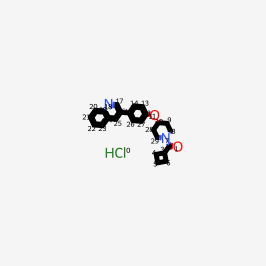 Cl.O=C(C1CCC1)N1CCC(Oc2ccc(-c3cnc4ccccc4c3)cc2)CC1